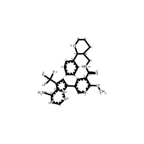 COc1ncc(-c2cc(C(F)(F)F)c3c(N)ncnn23)cc1C(=O)NCC1CCCOC1c1ccccc1